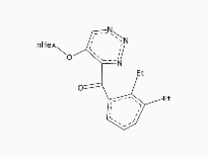 CCCCCCOc1cnnnc1C(=O)c1cccc(CC)c1CC